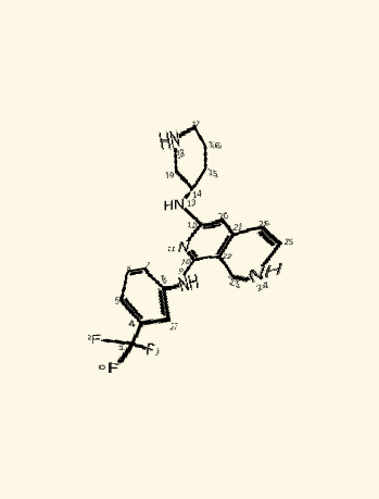 FC(F)(F)c1cccc(Nc2nc(N[C@@H]3CCCNC3)cc3c2CNC=C3)c1